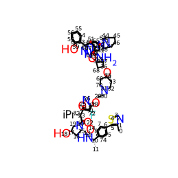 Cc1ncsc1-c1ccc([C@H](C)NC(=O)[C@@H]2C[C@@H](O)CN2C(=O)[C@H](c2onc(OCCN3CCC(O[C@H]4C[C@H](Oc5cc(N6C7CCC6CN(c6cc(-c8ccccc8O)nnc6N)C7)ccn5)C4)CC3)c2F)C(C)C)cc1